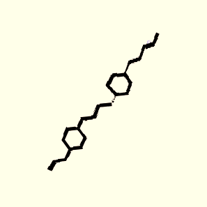 C=CCC1CCC(CCCC[C@H]2CC[C@H](CC/C=C/C)CC2)CC1